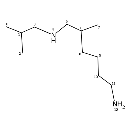 CC(C)CNCC(C)CCCCN